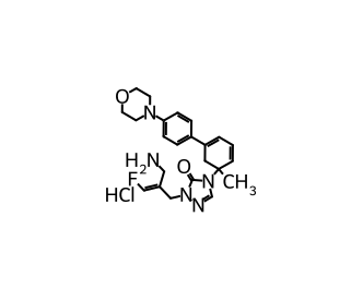 CC1(n2cnn(C/C(=C/F)CN)c2=O)C=CC=C(c2ccc(N3CCOCC3)cc2)C1.Cl